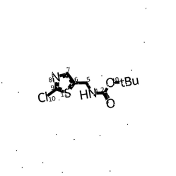 CC(C)(C)OC(=O)NCc1cnc(Cl)s1